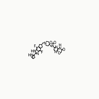 O=C1COc2ncc(N3CC4(CCN(CC5Cc6c(c(F)c7[nH]c(C89CC(CN8)C9)nc7c6F)C5)CC4)OC3=O)nc2N1